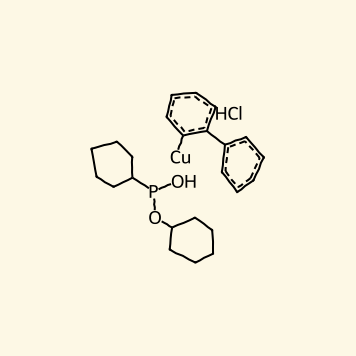 Cl.OP(OC1CCCCC1)C1CCCCC1.[Cu][c]1ccccc1-c1ccccc1